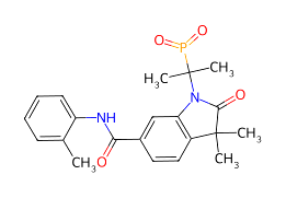 Cc1ccccc1NC(=O)c1ccc2c(c1)N(C(C)(C)P(=O)=O)C(=O)C2(C)C